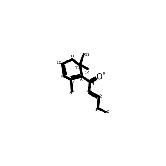 CC/C=C/C(=O)C1=C(C)C=CCC1(C)C